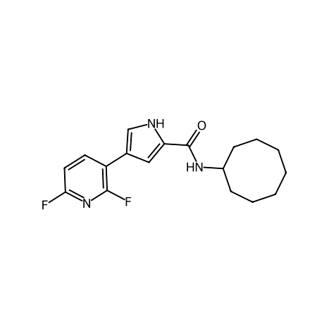 O=C(NC1CCCCCCC1)c1cc(-c2ccc(F)nc2F)c[nH]1